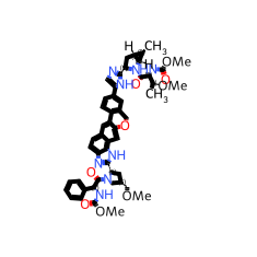 COC[C@H]1C[C@@H](c2nc3ccc4cc5c(cc4c3[nH]2)OCc2cc(-c3cnc([C@@H]4C[C@H]6[C@@H](C)[C@H]6N4C(=O)[C@@H](NC(=O)OC)[C@@H](C)OC)[nH]3)ccc2-5)N(C(=O)[C@H](NC(=O)OC)c2ccccc2)C1